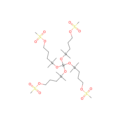 C[Si](C)(CCCOS(C)(=O)=O)O[Si](O[Si](C)(C)CCCOS(C)(=O)=O)(O[Si](C)(C)CCCOS(C)(=O)=O)O[Si](C)(C)CCCOS(C)(=O)=O